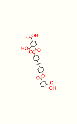 CC(C)(c1ccc(OC(=O)c2cccc(C(=O)O)c2)cc1)c1ccc(OC(=O)c2ccc(C(=O)O)cc2C(=O)O)cc1